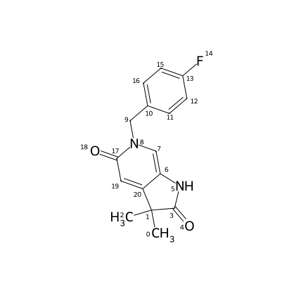 CC1(C)C(=O)Nc2cn(Cc3ccc(F)cc3)c(=O)cc21